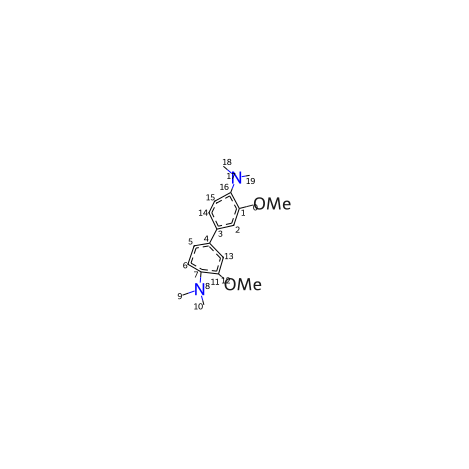 COc1cc(-c2ccc(N(C)C)c(OC)c2)ccc1N(C)C